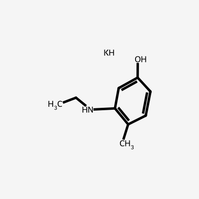 CCNc1cc(O)ccc1C.[KH]